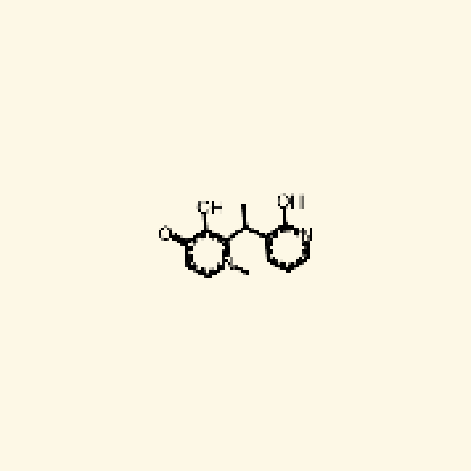 CC(c1cccnc1O)c1c(O)c(=O)ccn1C